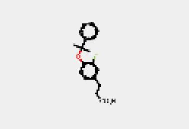 CC(C)(Oc1ccc(CCC(=O)O)cc1F)c1ccccc1